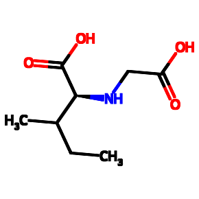 CCC(C)[C@H](NCC(=O)O)C(=O)O